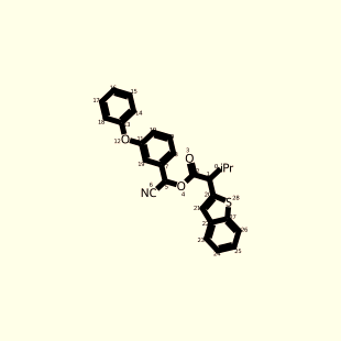 CC(C)C(C(=O)OC(C#N)c1cccc(Oc2ccccc2)c1)c1cc2ccccc2s1